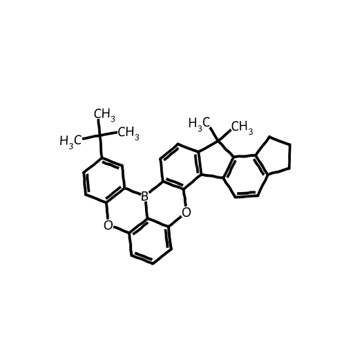 CC(C)(C)c1ccc2c(c1)B1c3ccc4c(c3Oc3cccc(c31)O2)-c1ccc2c(c1C4(C)C)CCC2